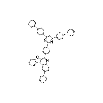 c1ccc(-c2ccc(-c3cc(-c4ccc(-c5ccccc5)cc4)nc(-c4ccc(-c5nc6ccc(-c7ccccc7)cc6c6c5oc5ccccc56)cc4)n3)cc2)cc1